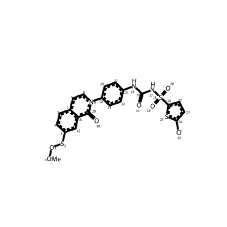 COOSc1ccc2ccn(-c3ccc(NC(=O)NS(=O)(=O)c4ccc(Cl)s4)cc3)c(=O)c2c1